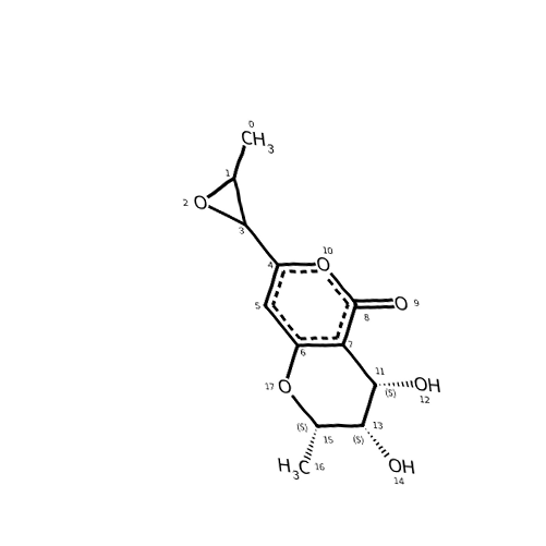 CC1OC1c1cc2c(c(=O)o1)[C@H](O)[C@H](O)[C@H](C)O2